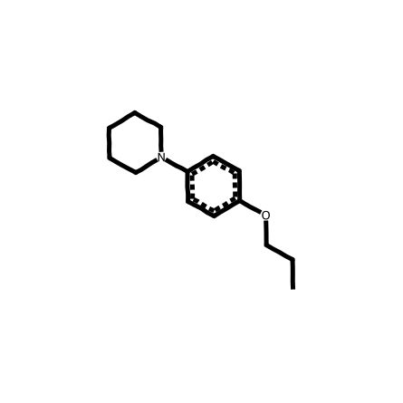 CCCOc1ccc(N2CCCCC2)cc1